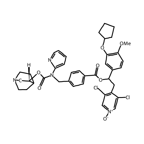 COc1ccc(C(Cc2c(Cl)c[n+]([O-])cc2Cl)OC(=O)c2ccc(CN(C(=O)O[C@H]3CN4CCC3CC4)c3ccccn3)cc2)cc1OC1CCCC1